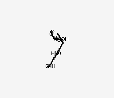 CCCCCC(OC(=O)C[N+](C)(C)CCCCOC(C)=O)C(O)C/C=C\CCCCCCCC(=O)NCCCCCCCCCCNC(C)=O